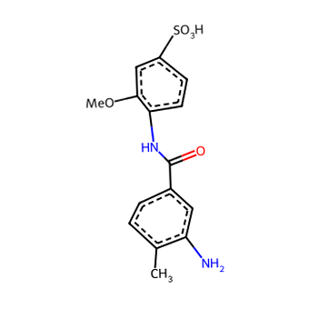 COc1cc(S(=O)(=O)O)ccc1NC(=O)c1ccc(C)c(N)c1